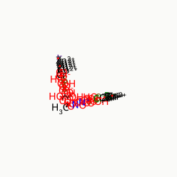 CC(=O)[O-].O=C(O)C(O)C(O)C(=O)O.O=N[O-].O=S(=O)([O-])[O-].O=S(=O)([O-])[O-].O=S(O)(O)=S.O=S(O)(O)=S.O=[N+]([O-])[O-].[Br-].[Cl-].[Co+2].[Co+2].[I-].[O]=[Cr](=[O])([O-])[O-].[Zn+2].[Zn+2].[Zn+2].[Zn+2].[Zn+2].[Zn+2].[Zn+2].[Zn+2].[Zn+2]